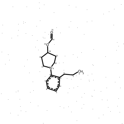 CCCc1ccccc1N1CCC(OC=O)CC1